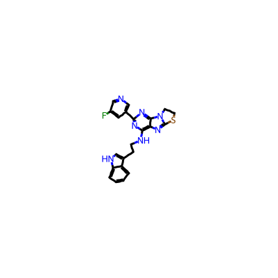 Fc1cncc(-c2nc(NCCc3c[nH]c4ccccc34)c3nc4n(c3n2)CCS4)c1